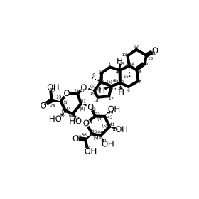 C[C@]12CC[C@H]3[C@@H](CCC4=CC(=O)CC[C@@]43C)[C@@H]1CC[C@@H]2OC1O[C@H](C(=O)O)[C@@H](O)[C@H](O)[C@H]1OC1O[C@H](C(=O)O)[C@@H](O)[C@H](O)[C@H]1O